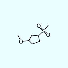 COC1CCC(S(C)(=O)=O)C1